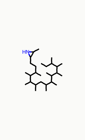 CCC(C)C(C)C(C)C(C)C(C)C(C)CC(C)C(C)C(C)C(C)CCC1NC1C